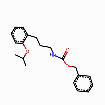 CC(C)Oc1ccccc1CCCNC(=O)OCc1ccccc1